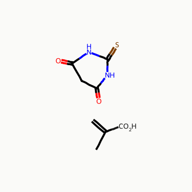 C=C(C)C(=O)O.O=C1CC(=O)NC(=S)N1